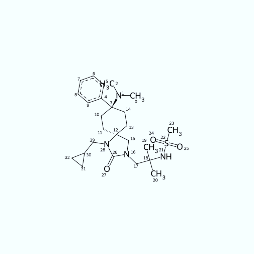 CN(C)[C@]1(c2ccccc2)CC[C@]2(CC1)CN(CC(C)(C)NS(C)(=O)=O)C(=O)N2CC1CC1